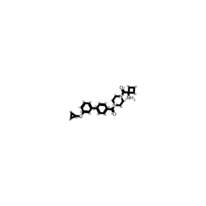 NC1(C(=O)N2CCN(C(=O)c3ccc(-c4cccc(OC5CC5)c4)cc3)CC2)CCC1